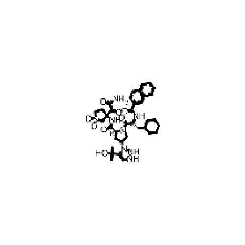 CC(C)(O)C1=CNNN1[C@H]1C[C@@H](C(=O)NC2(C(=O)C(N)=O)CCS(=O)(=O)C2)N(C(=O)[C@@H](CC2CCCCC2)NC(=O)c2ccc3ccccc3c2)C1